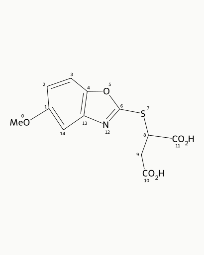 COc1ccc2oc(SC(CC(=O)O)C(=O)O)nc2c1